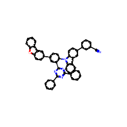 N#Cc1cccc(-c2ccc3c(c2)c2ccccc2n3-c2ccc(-c3ccc4oc5ccccc5c4c3)cc2-c2nc(-c3ccccc3)nc(-c3ccccc3)n2)c1